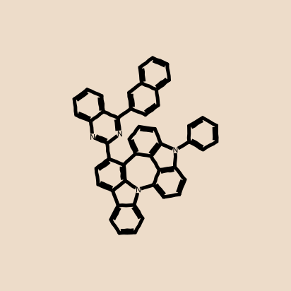 c1ccc(-n2c3cccc4c5c(-c6nc(-c7ccc8ccccc8c7)c7ccccc7n6)ccc6c7ccccc7n(c7cccc2c7c43)c65)cc1